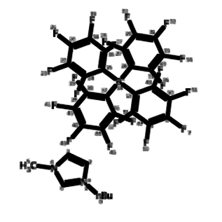 CCCC[n+]1ccn(C)c1.Fc1c(F)c(F)c([B-](c2c(F)c(F)c(F)c(F)c2F)(c2c(F)c(F)c(F)c(F)c2F)c2c(F)c(F)c(F)c(F)c2F)c(F)c1F